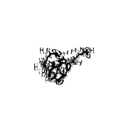 N=C(N)NCCC[C@H](N)C(=O)O.N=C(N)NCCC[C@H](N)C(=O)O.N[C@@H](Cc1ccccc1)C(=O)O.N[C@@H](Cc1ccccc1)C(=O)O